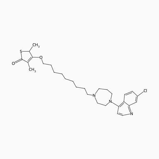 CC1=C(OCCCCCCCCCN2CCCN(c3ccnc4cc(Cl)ccc34)CC2)C(C)SC1=O